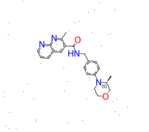 Cc1nc2ncccc2cc1C(=O)NCc1ccc(N2CCOC[C@@H]2C)cc1